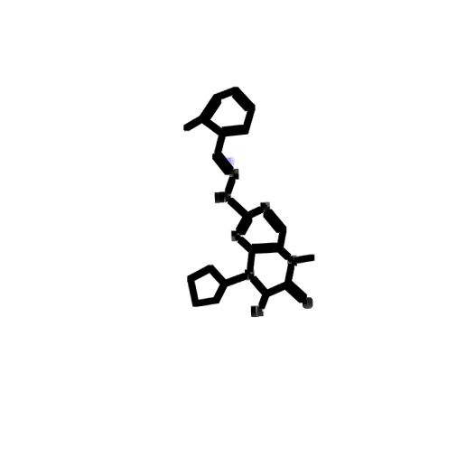 CCC1C(=O)N(C)c2cnc(N/N=C/c3ccccc3C)nc2N1C1CCCC1